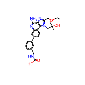 CCOCc1nc2c(N)nc3cc(-c4cccc(CNC(=O)O)c4)ccc3c2n1CC(C)(C)O